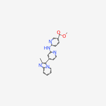 COC(=O)c1ccc(Nc2cc(-c3c(C)nc4ccccn34)ccn2)nc1